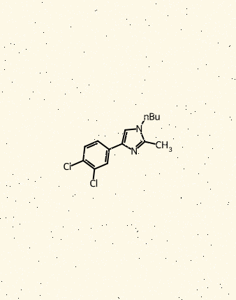 CCCCn1cc(-c2ccc(Cl)c(Cl)c2)nc1C